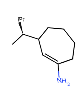 CC(C)[C@H](C)C1C=C(N)CCCC1